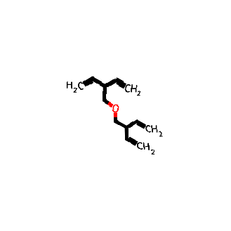 C=CC(C=C)COCC(C=C)C=C